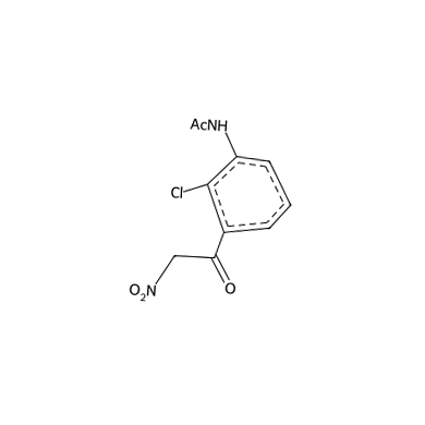 CC(=O)Nc1cccc(C(=O)C[N+](=O)[O-])c1Cl